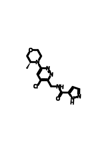 C[C@@H]1COCCN1c1cc(Cl)c(CNC(=O)c2ccn[nH]2)nn1